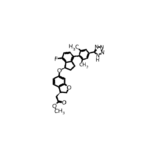 COC(=O)C[C@@H]1COc2cc(O[C@@H]3CCc4c(-c5c(C)cc(-c6nnn[nH]6)cc5C)ccc(F)c43)ccc21